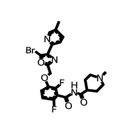 Cc1ccc(-c2nc(COc3ccc(F)c(C(=O)NC(=O)C4CCN(C)CC4)c3F)oc2Br)nc1